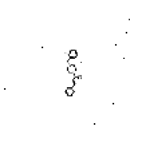 Cc1ccccc1CN1CCN(C(=O)C=Cc2ccccc2)CC1